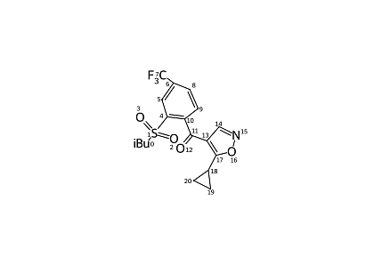 CCC(C)S(=O)(=O)c1cc(C(F)(F)F)ccc1C(=O)c1cnoc1C1CC1